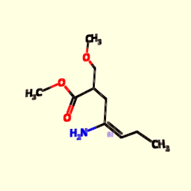 CC/C=C(/N)CC(COC)C(=O)OC